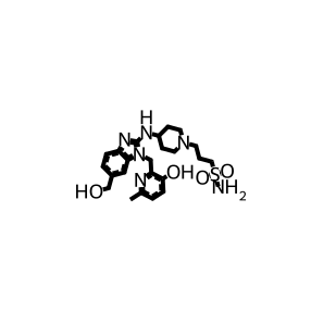 Cc1ccc(O)c(Cn2c(NC3CCN(CCCS(N)(=O)=O)CC3)nc3ccc(CO)cc32)n1